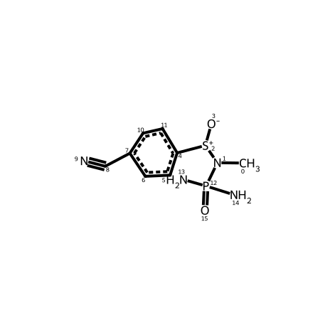 CN([S+]([O-])c1ccc(C#N)cc1)P(N)(N)=O